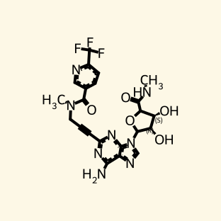 CNC(=O)C1OC(n2cnc3c(N)nc(C#CCN(C)C(=O)c4ccc(C(F)(F)F)nc4)nc32)[C@H](O)[C@@H]1O